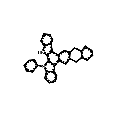 c1ccc(-n2c3ccccc3c3c4cc5c(cc4c4c6ccccc6[nH]c4c32)Cc2ccccc2C5)cc1